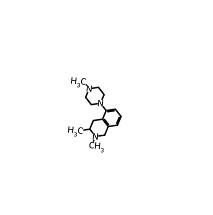 CC1Cc2c(cccc2N2CCN(C)CC2)CN1C